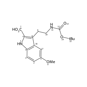 COc1ccc2[nH]c(C(=O)O)c(CCNC(=O)OC(C)(C)C)c2c1